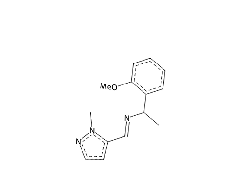 COc1ccccc1C(C)N=Cc1ccnn1C